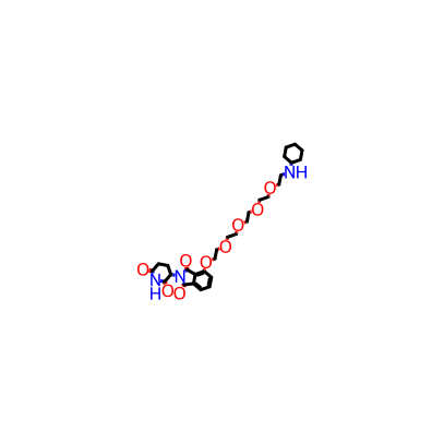 O=C1CCC(N2C(=O)c3cccc(OCCOCCOCCOCCOCCNC4CCCCC4)c3C2=O)C(=O)N1